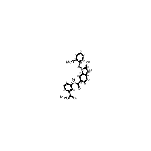 COC(=O)c1cccc(NC(=O)c2ccc3[nH]c(=S)n(Cc4ccccc4OC)c3c2)c1